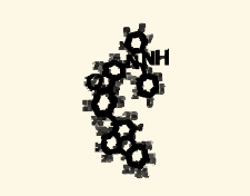 c1ccc(C2Nc3ccccc3N2c2ccc3oc4ccc(-c5ccc6c7c(cccc57)-c5ccccc5-6)cc4c3c2)cc1